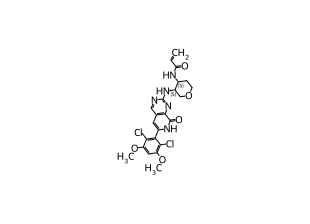 C=CC(=O)N[C@H]1CCOC[C@H]1Nc1ncc2cc(-c3c(Cl)c(OC)cc(OC)c3Cl)[nH]c(=O)c2n1